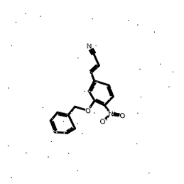 N#CC=Cc1ccc([N+](=O)[O-])c(OCc2ccccc2)c1